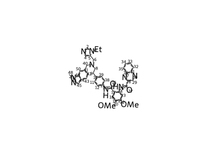 CCn1cncc1CN(CCc1ccc(NC(=O)c2cc(OC)c(OC)cc2NC(=O)c2cnc3ccccc3n2)cc1)Cc1ccc2cnn(C)c2c1